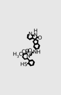 CC1(C)CCC(c2ccccc2S)N(CC(=O)Nc2ccc3c(c2)CC2(C3)C(=O)Nc3ncccc32)C1=O